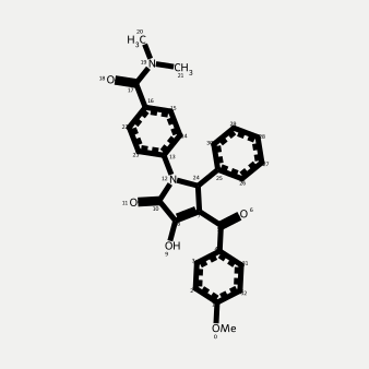 COc1ccc(C(=O)C2=C(O)C(=O)N(c3ccc(C(=O)N(C)C)cc3)C2c2ccccc2)cc1